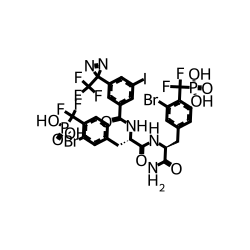 NC(=O)[C@H](Cc1ccc(C(F)(F)P(=O)(O)O)c(Br)c1)NC(=O)[C@H](Cc1ccc(C(F)(F)P(=O)(O)O)c(Br)c1)NC(=O)c1cc(I)cc(C2(C(F)(F)F)N=N2)c1